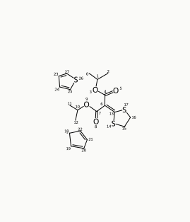 CC(C)OC(=O)C(C(=O)OC(C)C)=C1SCCS1.[CH]1C=CC=C1.c1ccsc1